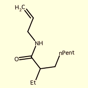 C=CCNC(=O)C(CC)CCCCCC